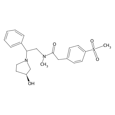 CN(CC(c1ccccc1)N1CC[C@H](O)C1)C(=O)Cc1ccc(S(C)(=O)=O)cc1